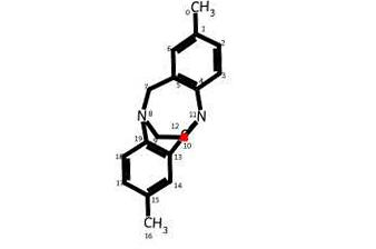 Cc1ccc2c(c1)CN1CCN2Cc2cc(C)ccc21